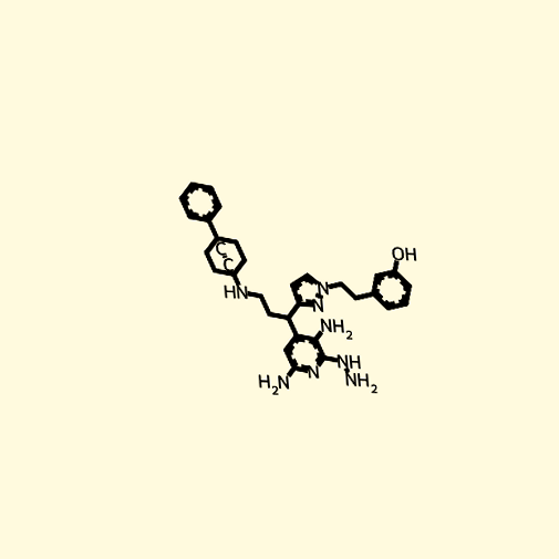 NNc1nc(N)cc(C(CCNC23CCC(c4ccccc4)(CC2)CC3)c2ccn(CCc3cccc(O)c3)n2)c1N